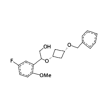 COc1ccc(F)cc1C(CO)O[C@H]1C[C@@H](OCc2ccccc2)C1